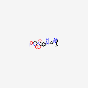 O=C1CCC(N2C(=O)c3ccc(NC[C@H]4C[C@H](n5nccc5C5CC5)C4)cc3C2=O)C(=O)N1